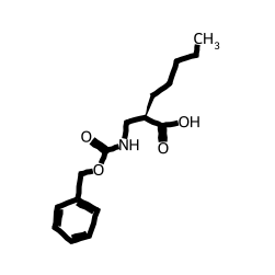 CCCCC[C@H](CNC(=O)OCc1ccccc1)C(=O)O